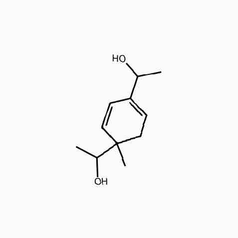 CC(O)C1=CCC(C)(C(C)O)C=C1